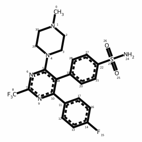 CN1CCN(c2nc(C(F)(F)F)nc(-c3ccc(F)cc3)c2-c2ccc(S(N)(=O)=O)cc2)CC1